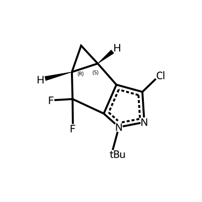 CC(C)(C)n1nc(Cl)c2c1C(F)(F)[C@@H]1C[C@H]21